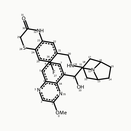 COc1cnc2cccc(C(O)CN3C4CCC3CC(NCc3cc5c(cc3F)SCC(=O)N5)C4)c2n1